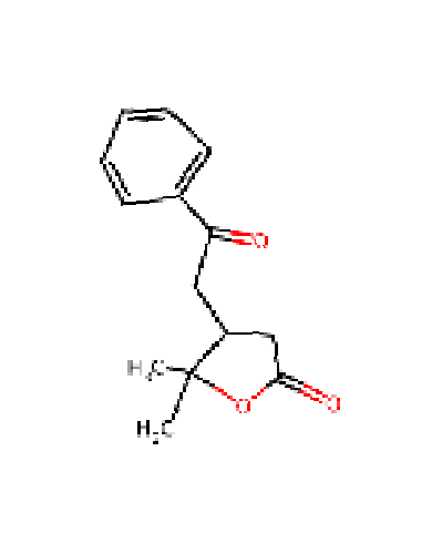 CC1(C)OC(=O)CC1CC(=O)c1ccccc1